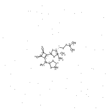 CC(C)N(c1c(N2C[C@H](CCCB(O)O)[C@@](C)(N)C2)c(=O)c1=O)C1CCNC1